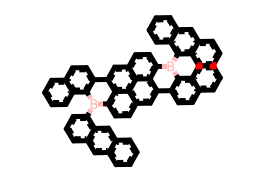 c1ccc2cc3c(B4c5c(ccc6ccccc56)-c5cc6ccc7c8c(cc9ccc4c5c9c68)-c4ccc5ccccc5c4B7c4c5ccccc5cc5ccccc45)cccc3cc2c1